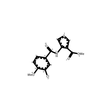 COC(=O)c1cscc1NC(=O)c1ccc(OC)c(Cl)c1